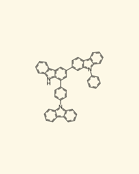 c1ccc(-n2c3ccccc3c3ccc(-c4cc(-c5ccc(-n6c7ccccc7c7ccccc76)cc5)c5[nH]c6ccccc6c5c4)cc32)cc1